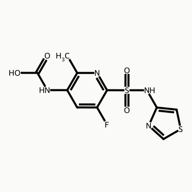 Cc1nc(S(=O)(=O)Nc2cscn2)c(F)cc1NC(=O)O